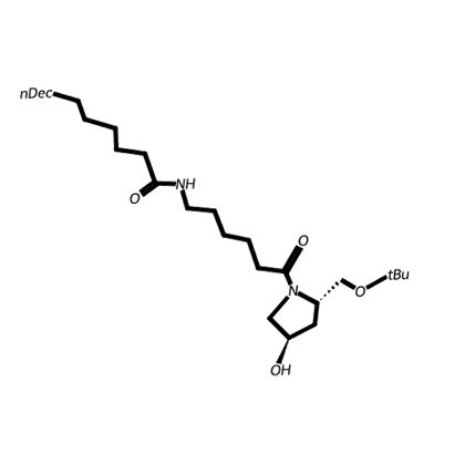 CCCCCCCCCCCCCCCC(=O)NCCCCCC(=O)N1C[C@H](O)C[C@H]1COC(C)(C)C